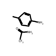 Cc1ccc(N)cc1.NC(=O)C(F)(F)F